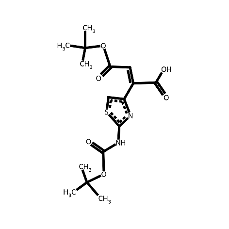 CC(C)(C)OC(=O)/C=C(/C(=O)O)c1csc(NC(=O)OC(C)(C)C)n1